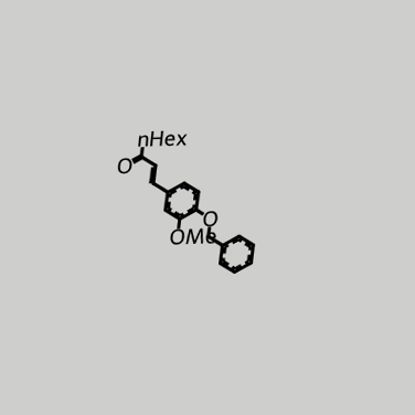 CCCCCCC(=O)C=Cc1ccc(OCc2ccccc2)c(OC)c1